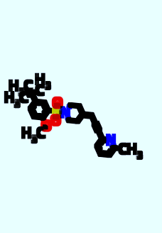 COc1ccc(C(C)(C)C)cc1S(=O)(=O)N1CCC(=CC#Cc2cccc(C)n2)CC1